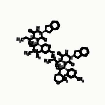 CC[C@H](C)[C@@H]1C(=O)N[C@H](C2Cc3ccccc3C2)C(=O)N1[C@@H](C(=O)N1CCOCC1)c1cnc(C)cc1C.CC[C@H](C)[C@@H]1C(=O)N[C@H](C2Cc3ccccc3C2)C(=O)N1[C@@H](C(=O)NC)c1cnc(C)cc1C